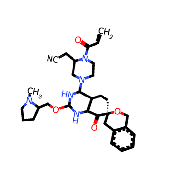 C=CC(=O)N1CCN(C2NC(OCC3CCCN3C)NC3C(=O)[C@]4(CCC32)Cc2ccccc2CO4)CC1CC#N